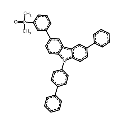 CP(C)(=O)c1cccc(-c2ccc3c(c2)c2cc(-c4ccccc4)ccc2n3-c2ccc(-c3ccccc3)cc2)c1